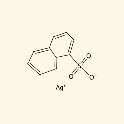 O=S(=O)([O-])c1cccc2ccccc12.[Ag+]